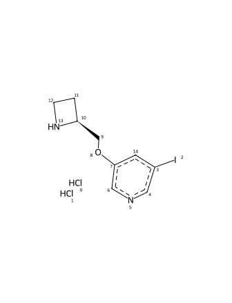 Cl.Cl.Ic1cncc(OC[C@@H]2CCN2)c1